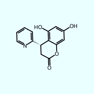 O=C1C[C@H](c2ccccn2)c2c(O)cc(O)cc2O1